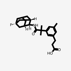 Cc1cc(CCC(=O)O)cc(C(C)(C)C(=O)N[C@H]2[C@@H]3CC4C[C@H]2C[C@](F)(C4)C3)c1